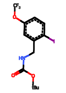 CC(C)(C)OC(=O)NCc1cc(OC(F)(F)F)ccc1I